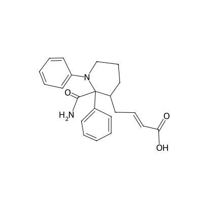 NC(=O)C1(c2ccccc2)C(CC=CC(=O)O)CCCN1c1ccccc1